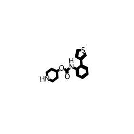 O=C(Nc1ccccc1-c1ccsc1)OC1CCNCC1